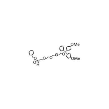 COc1ccc(C(OCCOCCOCCOCCNC(=O)OCc2ccccc2)(c2ccccc2)c2ccc(OC)cc2)cc1